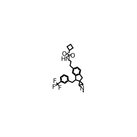 CN1C2C1C21Cc2ccc(CCNS(=O)(=O)C3CCC3)cc2C1Cc1cccc(C(F)(F)F)c1